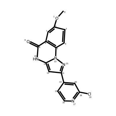 COc1ccc2c(c1)c(=O)[nH]c1cc(-c3ccnc(Cl)c3)nn12